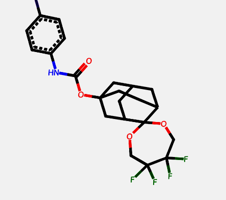 O=C(Nc1ccc(I)cc1)OC12CC3CC(C1)C1(OCC(F)(F)C(F)(F)CO1)C(C3)C2